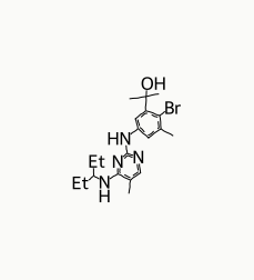 CCC(CC)Nc1nc(Nc2cc(C)c(Br)c(C(C)(C)O)c2)ncc1C